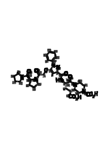 O=C(O)CC[C@H](NC(=O)c1cc(OCC(=O)N2CCC[C@H]2C(=O)N2CCCC2)n(-c2ccccc2)n1)C(=O)N1CCN(C(=O)O)CC1